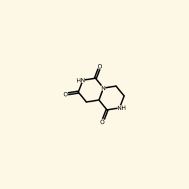 O=C1CC2C(=O)NCCN2C(=O)N1